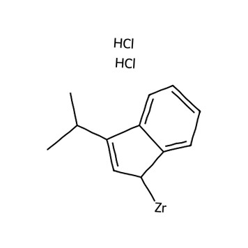 CC(C)C1=C[CH]([Zr])c2ccccc21.Cl.Cl